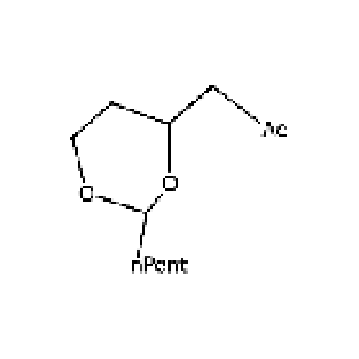 CCCCCC1OCCC(CC(C)=O)O1